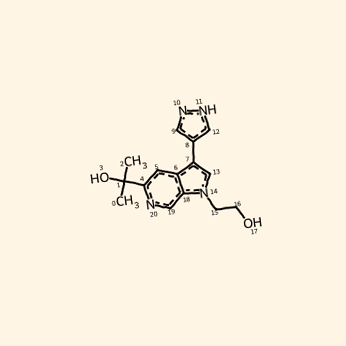 CC(C)(O)c1cc2c(-c3cn[nH]c3)cn(CCO)c2cn1